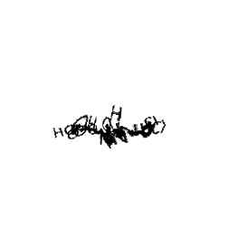 O=c1[nH]c(NCc2ccc(Cl)c(Cl)c2)nc2cnn(CCOCCOP(=O)(O)O)c12